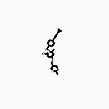 Cc1ncc(COc2cc(C)n([C@H](C)c3ccc(C#CC4CC4)cc3)c(=O)c2)cn1